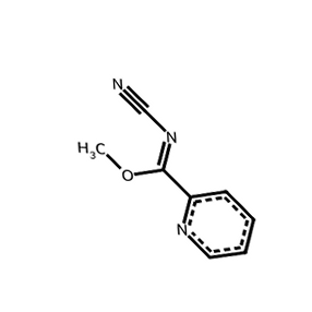 COC(=NC#N)c1ccccn1